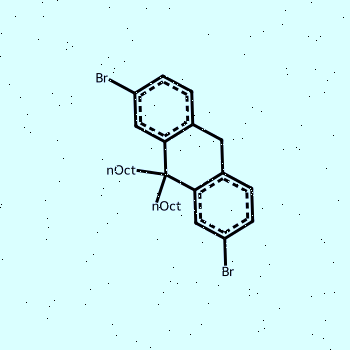 CCCCCCCCC1(CCCCCCCC)c2cc(Br)ccc2Cc2ccc(Br)cc21